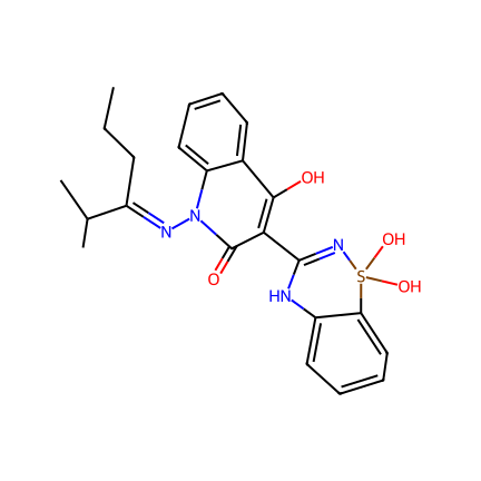 CCCC(=Nn1c(=O)c(C2=NS(O)(O)c3ccccc3N2)c(O)c2ccccc21)C(C)C